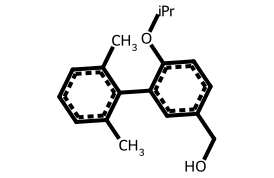 Cc1cccc(C)c1-c1cc(CO)ccc1OC(C)C